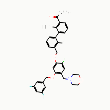 CNC(=O)c1cccc(-c2cccc(COc3cc(OCc4cc(F)cc(F)c4)c(CN4CCOCC4)cc3Cl)c2C)c1C